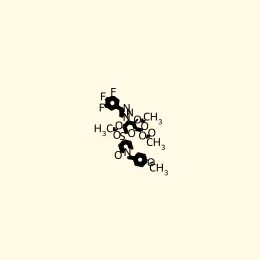 COc1ccc(Cn2ccc(S[C@H]3OC(COC(C)=O)[C@H](OC(C)=O)[C@H](n4cc(-c5cc(F)c(F)c(F)c5)nn4)C3OC(C)=O)cc2=O)cc1